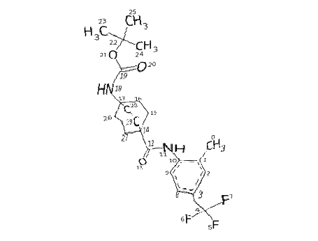 Cc1cc(C(F)(F)F)ccc1NC(=O)C12CCC(NC(=O)OC(C)(C)C)(CC1)CC2